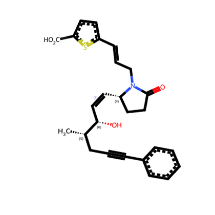 C[C@@H](CC#Cc1ccccc1)[C@@H](O)/C=C\[C@H]1CCC(=O)N1CC=Cc1ccc(C(=O)O)s1